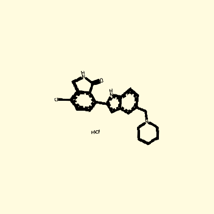 Cl.O=C1NCc2c(Cl)ccc(-c3cc4cc(CN5CCCCC5)ccc4[nH]3)c21